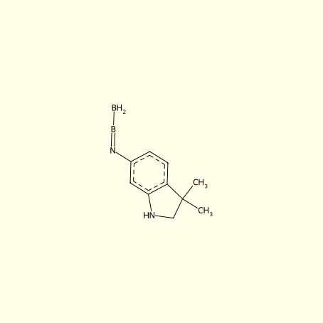 BB=Nc1ccc2c(c1)NCC2(C)C